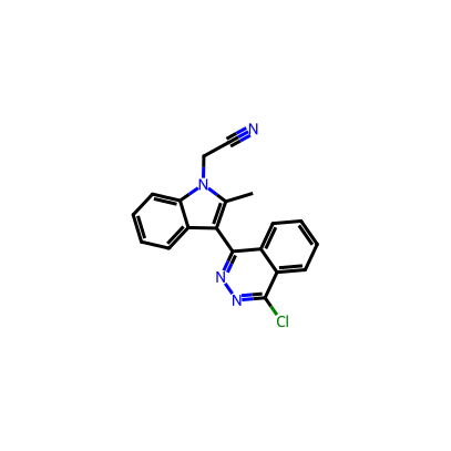 Cc1c(-c2nnc(Cl)c3ccccc23)c2ccccc2n1CC#N